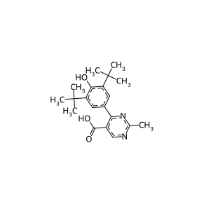 Cc1ncc(C(=O)O)c(-c2cc(C(C)(C)C)c(O)c(C(C)(C)C)c2)n1